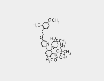 COc1ccc(CCOc2ccc(-c3cnc(C)c([C@H](OC(C)(C)C)C(=O)O)c3N3CCC(C)(C)CC3)nc2)c(C)c1